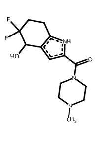 CN1CCN(C(=O)c2cc3c([nH]2)CCC(F)(F)C3O)CC1